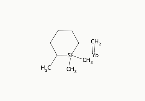 CC1CCCC[Si]1(C)C.[CH2]=[Yb]